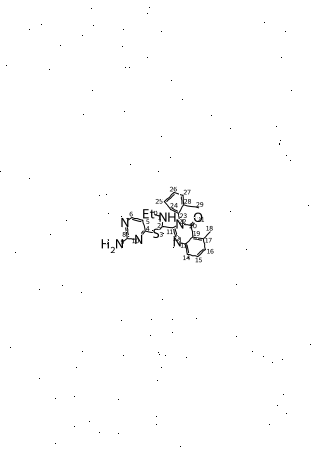 CCNC(Sc1ccnc(N)n1)c1nc2cccc(C)c2c(=O)n1-c1ccccc1C